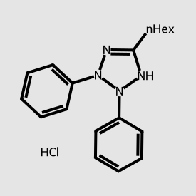 CCCCCCC1=NN(c2ccccc2)N(c2ccccc2)N1.Cl